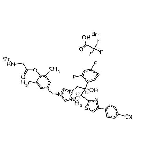 Cc1cc(C[n+]2cnn(C[C@](O)(c3ccc(F)cc3F)[C@@H](C)c3nc(-c4ccc(C#N)cc4)cs3)c2)cc(C)c1OC(=O)CNC(C)C.O=C(O)C(F)(F)F.[Br-]